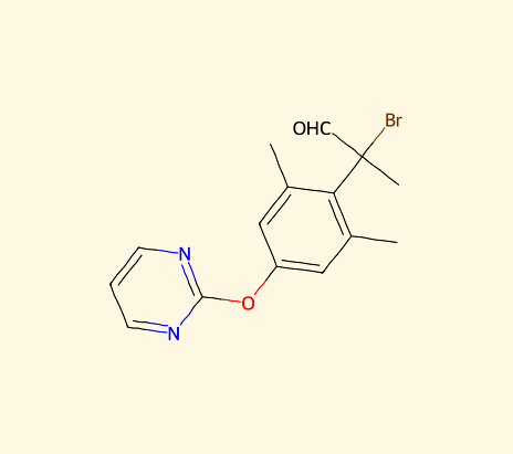 Cc1cc(Oc2ncccn2)cc(C)c1C(C)(Br)C=O